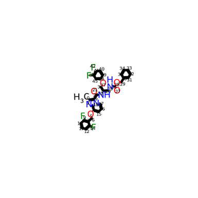 Cc1nc2c(OCc3c(F)cccc3F)cccn2c1C(=O)NC(CNC(=O)OCc1ccccc1)COc1ccc(F)c(F)c1